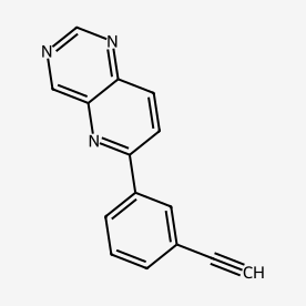 C#Cc1cccc(-c2ccc3ncncc3n2)c1